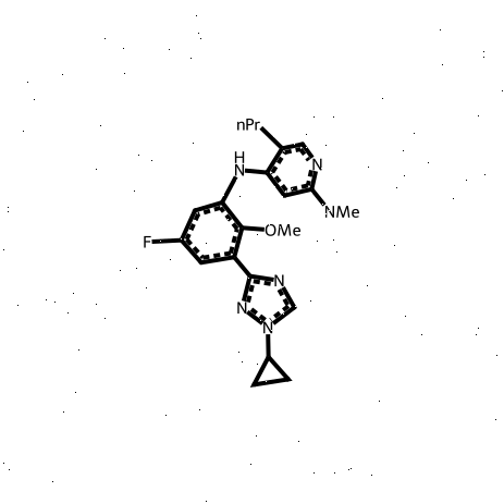 CCCc1cnc(NC)cc1Nc1cc(F)cc(-c2ncn(C3CC3)n2)c1OC